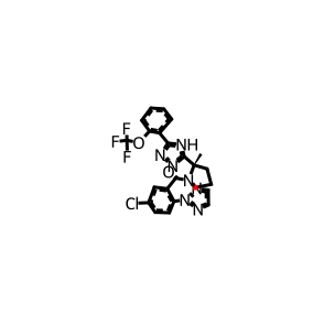 C[C@@]1(c2nnc(-c3ccccc3OC(F)(F)F)[nH]2)CCCN1C(=O)c1cc(Cl)ccc1-n1nccn1